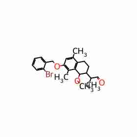 COC1c2c(C)c(OCc3ccccc3Br)cc(C)c2CCC1C(C)C=O